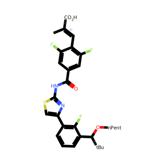 CCCCCOC(c1cccc(-c2csc(NC(=O)c3cc(F)c(/C=C(\C)C(=O)O)c(F)c3)n2)c1F)C(C)(C)C